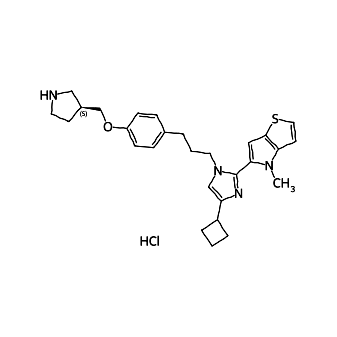 Cl.Cn1c(-c2nc(C3CCC3)cn2CCCc2ccc(OC[C@H]3CCNC3)cc2)cc2sccc21